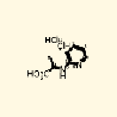 CC(Nc1ccccn1)C(=O)O.Cl.Cl